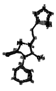 CC1N(CCc2nnn[nH]2)NC(=O)N1c1ccccc1